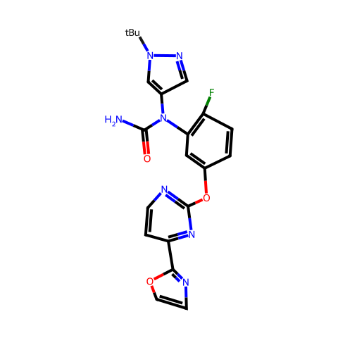 CC(C)(C)n1cc(N(C(N)=O)c2cc(Oc3nccc(-c4ncco4)n3)ccc2F)cn1